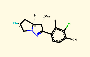 CO[C@@H]1C(c2ccc(C#N)c(Cl)c2C)=NN2C[C@@H](F)C[C@@H]12